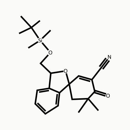 CC1(C)CC2(C=C(C#N)C1=O)OC(CO[Si](C)(C)C(C)(C)C)c1ccccc12